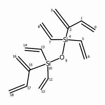 C=CC(=C)[Si](C=C)(C=C)O[Si](C=C)(C=C)C(=C)C=C